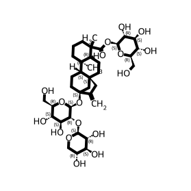 C=C1C[C@]23CC[C@H]4C(C)(C(=O)O[C@@H]5O[C@H](CO)[C@@H](O)[C@H](O)[C@H]5O)CCC[C@]4(C)[C@H]2CC[C@]1(O[C@@H]1O[C@H](CO)[C@@H](O)[C@H](O)[C@H]1O[C@@H]1OC[C@@H](O)[C@H](O)[C@H]1O)C3